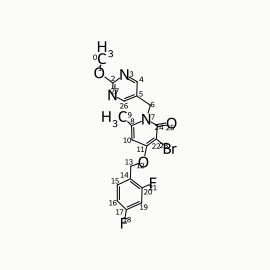 COc1ncc(Cn2c(C)cc(OCc3ccc(F)cc3F)c(Br)c2=O)cn1